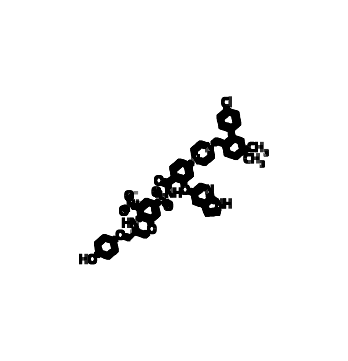 CC1(C)CCC(CN2CCN(c3ccc(C(=O)NS(=O)(=O)c4cc5c(c([N+](=O)[O-])c4)N[C@H](COC4CCC(O)CC4)CO5)c(Oc4cnc5[nH]ccc5c4)c3)CC2)=C(c2ccc(Cl)cc2)C1